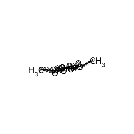 CC#CC#CC#COC(=O)c1ccc(OC(=O)C=CC(=O)Oc2ccc(C(=O)OCCCCCCC)cc2)cc1